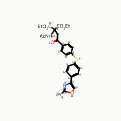 CCOC(=O)C(CC(=O)c1ccc(Sc2ccc(-c3coc(C(C)C)n3)cc2)cc1)(NC(C)=O)C(=O)OCC